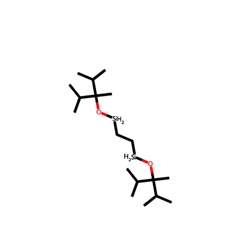 CC(C)C(C)(O[SiH2]CC[SiH2]OC(C)(C(C)C)C(C)C)C(C)C